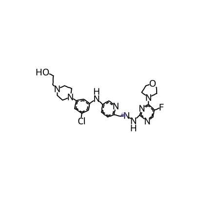 OCCN1CCN(c2cc(Cl)cc(Nc3ccc(/C=N/Nc4ncc(F)c(N5CCOCC5)n4)nc3)c2)CC1